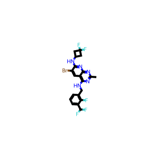 Cc1nc(NCc2cccc(C(F)F)c2F)c2cc(Br)c(NC3CC(F)(F)C3)nc2n1